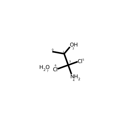 CC(O)C(N)(Cl)Cl.O